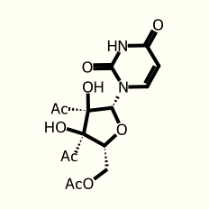 CC(=O)OC[C@H]1O[C@@H](n2ccc(=O)[nH]c2=O)[C@@](O)(C(C)=O)[C@@]1(O)C(C)=O